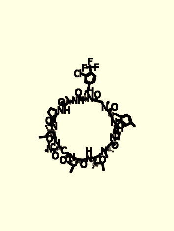 CC[C@H](C)[C@@H]1NC(=O)[C@H](CC(C)C)N(C)C(=O)C[C@@H](C(=O)N(C)C)N(C)C(=O)[C@H]([C@@H](C)CC)N(C)C(=O)C2(CCCC2)NC(=O)[C@@H](C)NC(=O)[C@H](CCc2ccc(C(F)(F)F)c(Cl)c2)NC(=O)CN(C)C(=O)[C@H](Cc2ccc(C)cc2)N(C)C(=O)[C@@H]2CCN2C(=O)[C@H](C)N(C)C1=O